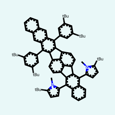 Cn1c(-c2c3c(c(-c4ccc(C(C)(C)C)n4C)c4ccccc24)-c2ccc4c5c(ccc-3c25)-c2c-4c(-c3cc(C(C)(C)C)cc(C(C)(C)C)c3)c3cc4ccccc4cc3c2-c2cc(C(C)(C)C)cc(C(C)(C)C)c2)ccc1C(C)(C)C